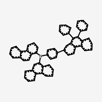 c1ccc(-c2c(-c3ccccc3)c3cc(-c4ccc(N(c5cccc6c5ccc5ccccc56)c5cc6ccccc6c6ccccc56)cc4)ccc3c3ccccc23)cc1